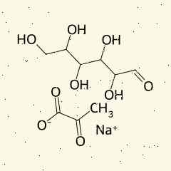 CC(=O)C(=O)[O-].O=CC(O)C(O)C(O)C(O)CO.[Na+]